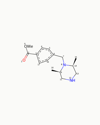 COC(=O)c1ccc(CN2[C@H](C)CNC[C@@H]2C)cc1